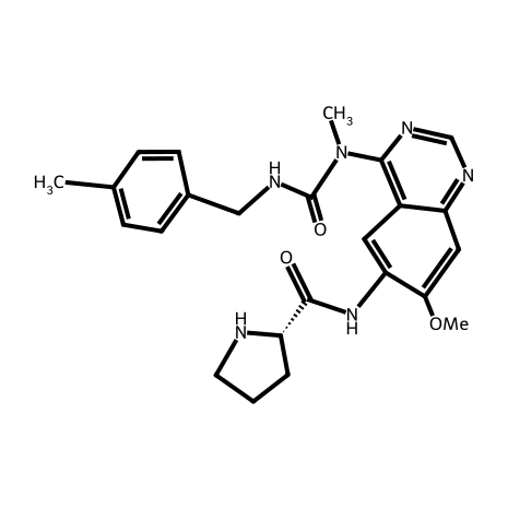 COc1cc2ncnc(N(C)C(=O)NCc3ccc(C)cc3)c2cc1NC(=O)[C@@H]1CCCN1